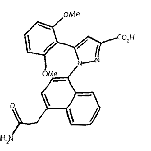 COc1cccc(OC)c1-c1cc(C(=O)O)nn1-c1ccc(CC(N)=O)c2ccccc12